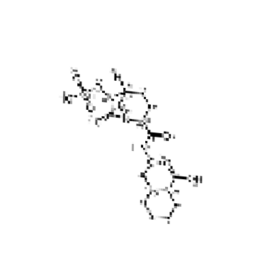 O=C(NOC[C@@H]1CCCCN1C(=O)O)[C@@H]1CC[C@@H]2CN1C(=O)N2OS(=O)(=O)O